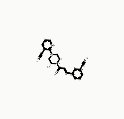 C[C@@H]1CN(c2ncccc2C#N)CCN1C(=O)/C=C/c1cccc(C#N)c1